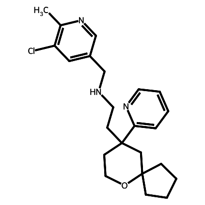 Cc1ncc(CNCCC2(c3ccccn3)CCOC3(CCCC3)C2)cc1Cl